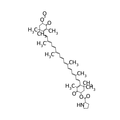 CC1=C(/C=C/C(C)=C/C=C/C(C)=C/C=C/C=C(C)/C=C/C=C(C)/C=C/C2=C(C)C(=O)C(OC(=O)C3CCCN3)CC2(C)C)C(C)(C)CC(OC=O)C1=O